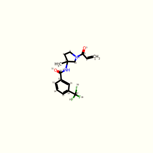 C=CC(=O)N1CCC(C)(NC(=O)c2cccc(C(F)(F)F)c2)C1